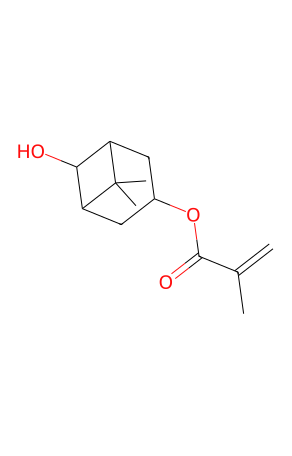 C=C(C)C(=O)OC1CC2C(O)C(C1)C2(C)C